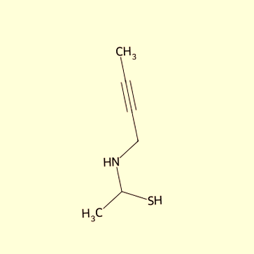 CC#CCNC(C)S